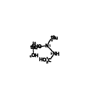 CC(C)(C)N(NC(=O)O)C(C)(C)C.O=CO